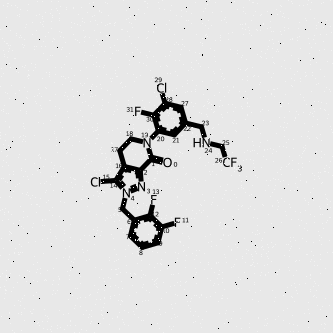 O=C1c2nn(Cc3cccc(F)c3F)c(Cl)c2CCN1c1cc(CNCC(F)(F)F)cc(Cl)c1F